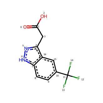 O=C(O)Cc1n[nH]c2ccc(C(F)(F)F)cc12